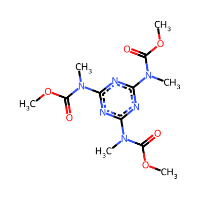 COC(=O)N(C)c1nc(N(C)C(=O)OC)nc(N(C)C(=O)OC)n1